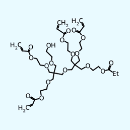 C=CC(=O)OCCOCC(COCCO)(COCCOC(=O)C=C)COCC(COCCOC(=O)C=C)(COCCOC(=O)C=C)COCCOC(=O)CC